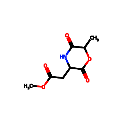 COC(=O)CC1NC(=O)C(C)OC1=O